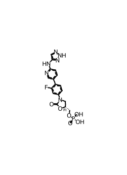 O=C1O[C@@H](COP(=O)(O)O)CN1c1ccc(-c2ccc(Nc3cn[nH]n3)nc2)c(F)c1